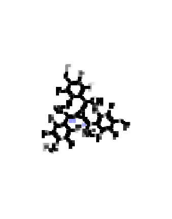 N#CC(=C1C(=C(/C#N)c2c(F)c(F)c(CF)c(F)c2F)/C1=C(/C#N)c1c(F)c(F)c(C(F)(F)F)c(F)c1F)c1c(F)c(F)c(CF)c(F)c1F